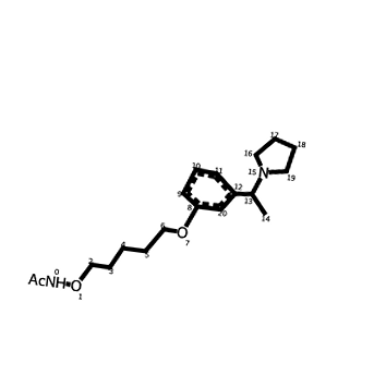 CC(=O)NOCCCCCOc1cccc(C(C)N2CCCC2)c1